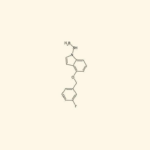 BBn1ccc2c(OCc3cccc(F)c3)cccc21